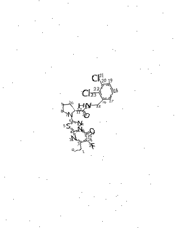 CCc1nc2sc(N3CCCC3C(=O)NCc3cccc(Cl)c3Cl)nn2c(=O)c1F